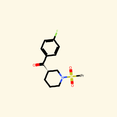 CC(C)S(=O)(=O)N1CCC[C@H](C(=O)c2ccc(F)cc2)C1